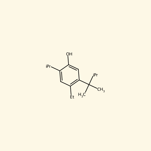 CCc1cc(C(C)C)c(O)cc1C(C)(C)C(C)C